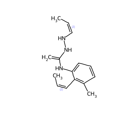 C=C(NN/C=C\C)Nc1cccc(C)c1/C=C\C